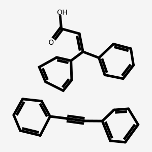 C(#Cc1ccccc1)c1ccccc1.O=C(O)C=C(c1ccccc1)c1ccccc1